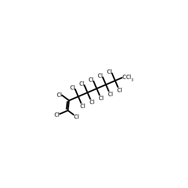 ClC(Cl)=C(Cl)C(Cl)(Cl)C(Cl)(Cl)C(Cl)(Cl)C(Cl)(Cl)C(Cl)(Cl)C(Cl)(Cl)Cl